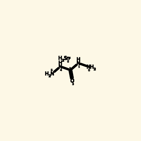 NNC(=O)NN.[SnH2]